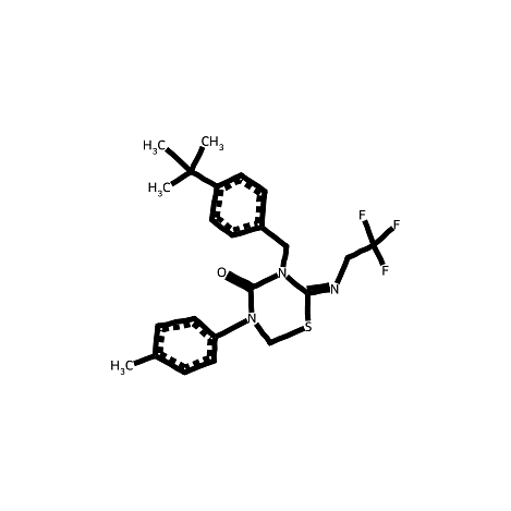 Cc1ccc(N2CS/C(=N/CC(F)(F)F)N(Cc3ccc(C(C)(C)C)cc3)C2=O)cc1